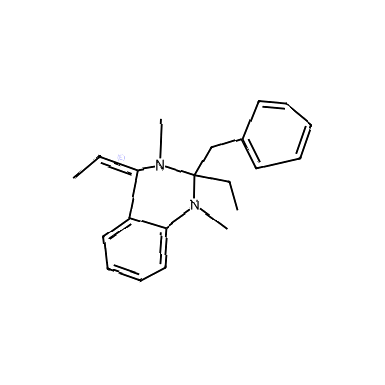 C/C=C1\c2ccccc2N(C)C(CC)(Cc2ccccc2)N1C